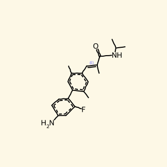 C/C(=C\c1cc(C)c(-c2ccc(N)cc2F)cc1C)C(=O)NC(C)C